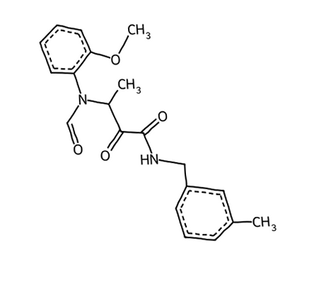 COc1ccccc1N(C=O)C(C)C(=O)C(=O)NCc1cccc(C)c1